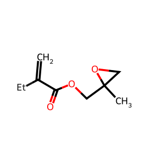 C=C(CC)C(=O)OCC1(C)CO1